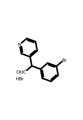 Br.O=CC(c1cccnc1)c1cccc(Br)c1